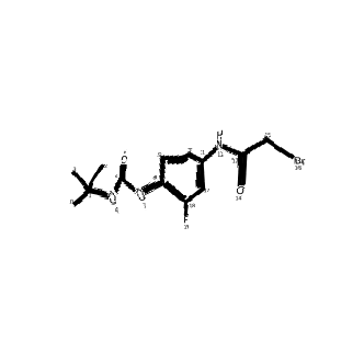 CC(C)(C)OC(=O)Oc1ccc(NC(=O)CBr)cc1F